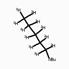 [2H]C([2H])([2H])C([2H])([2H])C([2H])([2H])C([2H])([2H])C([2H])([2H])CCCC